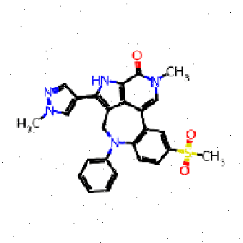 Cn1cc(-c2[nH]c3c(=O)n(C)cc4c3c2CN(c2ccccc2)c2ccc(S(C)(=O)=O)cc2-4)cn1